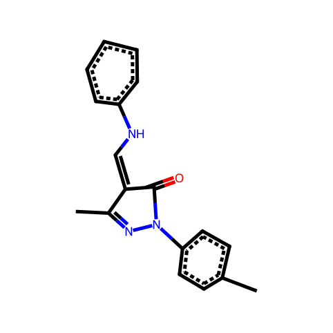 CC1=NN(c2ccc(C)cc2)C(=O)C1=CNc1ccccc1